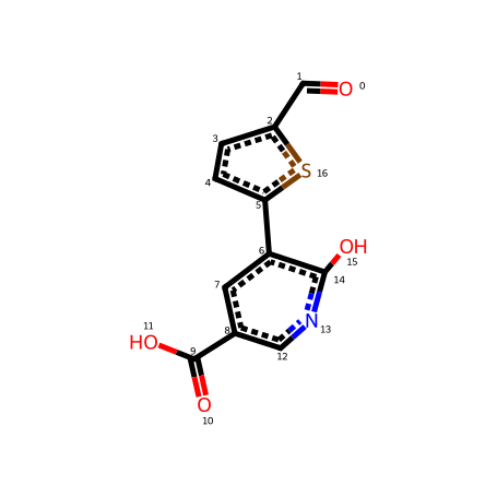 O=Cc1ccc(-c2cc(C(=O)O)cnc2O)s1